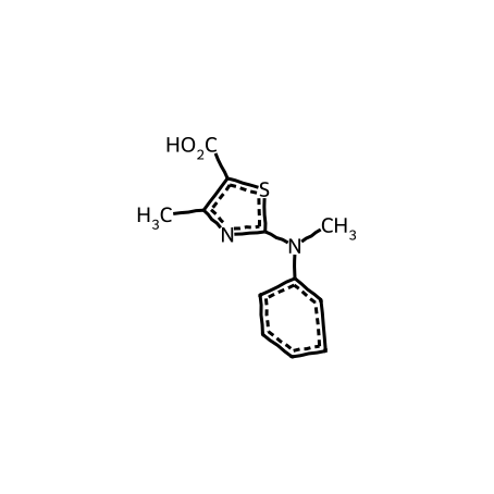 Cc1nc(N(C)c2ccccc2)sc1C(=O)O